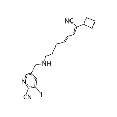 N#C/C(=C\C=C\CCCNCc1cnc(C#N)c(I)c1)C1CCC1